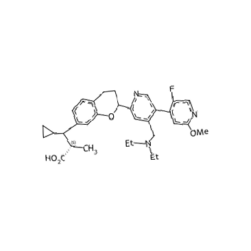 CCN(CC)Cc1cc(C2CCc3ccc(C(C4CC4)[C@H](C)C(=O)O)cc3O2)ncc1-c1cc(OC)ncc1F